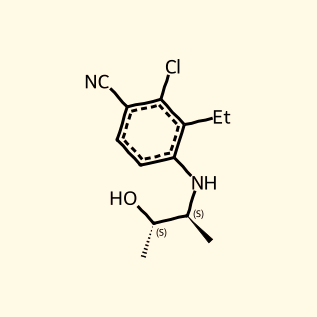 CCc1c(N[C@@H](C)[C@H](C)O)ccc(C#N)c1Cl